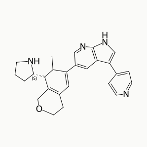 CC1C(c2cnc3[nH]cc(-c4ccncc4)c3c2)=CC2=C(COCC2)C1[C@@H]1CCCN1